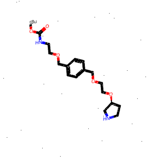 CC(C)(C)OC(=O)NCCOCc1ccc(COCCO[C@H]2CCNC2)cc1